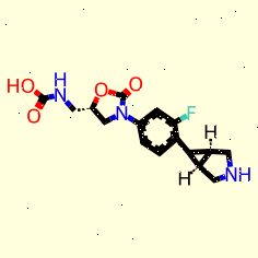 O=C(O)NC[C@H]1CN(c2ccc(C3[C@H]4CNC[C@@H]34)c(F)c2)C(=O)O1